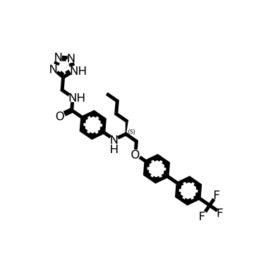 CCCC[C@@H](COc1ccc(-c2ccc(C(F)(F)F)cc2)cc1)Nc1ccc(C(=O)NCc2nnn[nH]2)cc1